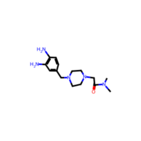 CN(C)C(=O)CN1CCN(Cc2ccc(N)c(N)c2)CC1